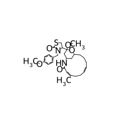 COc1ccc(CN2C(=O)SCC2C2(OC)CC3CC(CCCC=CCCC(C)=CC(=O)N3)O2)cc1